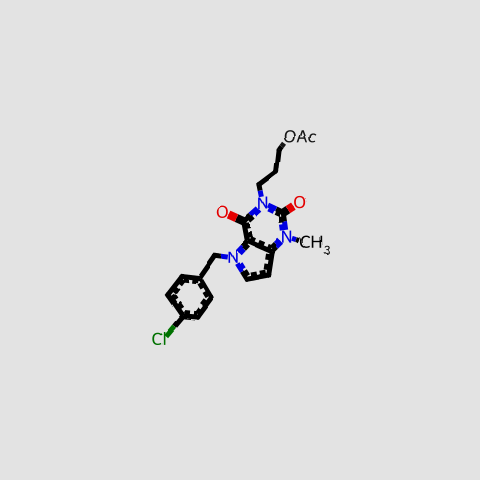 CC(=O)OCCCn1c(=O)c2c(ccn2Cc2ccc(Cl)cc2)n(C)c1=O